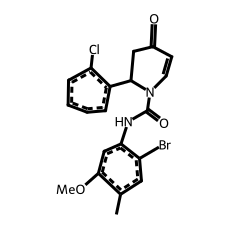 COc1cc(NC(=O)N2C=CC(=O)CC2c2ccccc2Cl)c(Br)cc1C